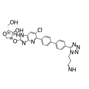 N=CCCn1nnnc1-c1ccc(-c2ccc(-c3nc4nc(O[C@@H]5CO[C@H](CO)[C@H]5O)[nH]c4cc3Cl)cc2)cc1